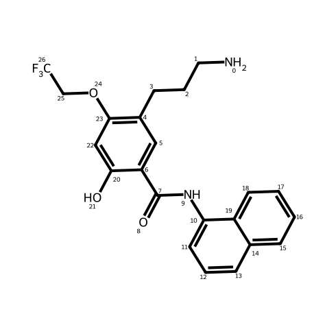 NCCCc1cc(C(=O)Nc2cccc3ccccc23)c(O)cc1OCC(F)(F)F